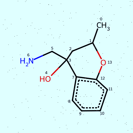 CC1CC(O)(CN)c2ccccc2O1